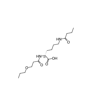 CCCOCCC(=O)N[C@H](CCCCNC(=O)CCC)C(=O)O